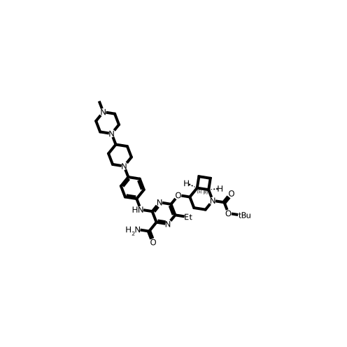 CCc1nc(C(N)=O)c(Nc2ccc(N3CCC(N4CCN(C)CC4)CC3)cc2)nc1OC1CCN(C(=O)OC(C)(C)C)[C@@H]2CC[C@H]12